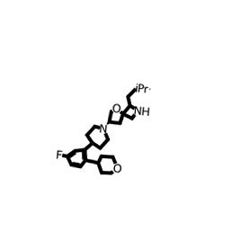 C[C](C)CC1NCC12C[C@H](N1CCC(c3cc(F)ccc3C3CCOCC3)CC1)CO2